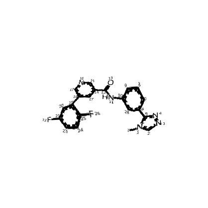 Cn1cnnc1-c1cccc(NC(=O)c2cncc(-c3cc(F)ccc3F)c2)c1